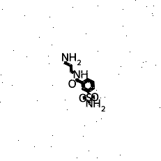 NCCCNC(=O)c1cccc(S(N)(=O)=O)c1